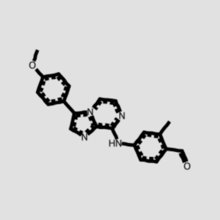 COc1ccc(-c2cnc3c(Nc4ccc(C=O)c(C)c4)nccn23)cc1